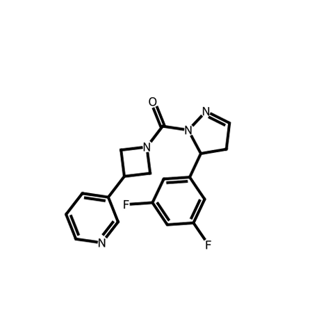 O=C(N1CC(c2cccnc2)C1)N1N=CCC1c1cc(F)cc(F)c1